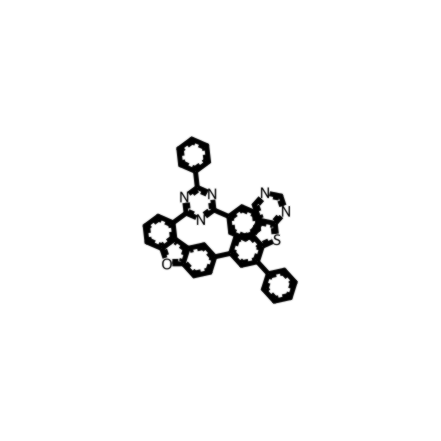 c1ccc(-c2nc(-c3ccccc3)nc(-c3cccc4oc5ccc(-c6cc(-c7ccccc7)c7sc8ncncc8c7c6)cc5c34)n2)cc1